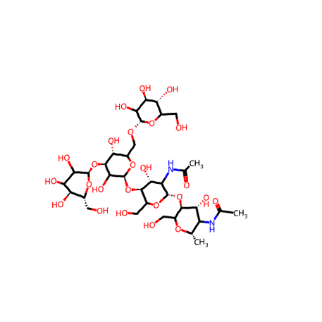 CC(=O)NC1[C@H](O[C@@H]2C(CO)O[C@@H](C)C(NC(C)=O)[C@H]2O)OC(CO)[C@@H](O[C@@H]2OC(CO[C@H]3OC(CO)[C@@H](O)[C@H](O)C3O)[C@@H](O)[C@H](O[C@H]3O[C@H](CO)[C@@H](O)C(O)C3O)C2O)[C@@H]1O